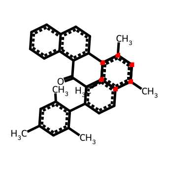 Cc1cc(C)c(-c2ccc3ccccc3c2C(=O)c2c(-c3c(C)cc(C)cc3C)ccc3ccccc23)c(C)c1